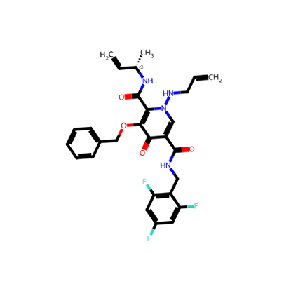 C=CCNn1cc(C(=O)NCc2c(F)cc(F)cc2F)c(=O)c(OCc2ccccc2)c1C(=O)N[C@@H](C)C=C